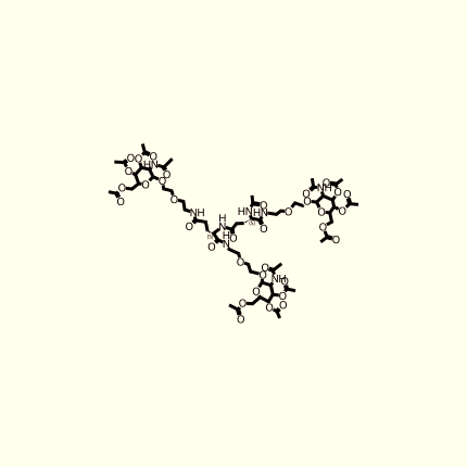 CC(=O)NC1C(OCCOCCNC(=O)CC[C@H](NC(=O)CC[C@H](NC(C)=O)C(=O)NCCOCCOC2OC(COC(C)=O)C(OC(C)=O)C(OC(C)=O)C2NC(C)=O)C(=O)NCCOCCOC2OC(COC(C)=O)C(OC(C)=O)C(OC(C)=O)C2NC(C)=O)OC(COC(C)=O)C(OC(C)=O)C1OC(C)=O